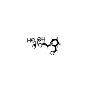 [O]CC1CCCN1CCOP(=O)(O)O